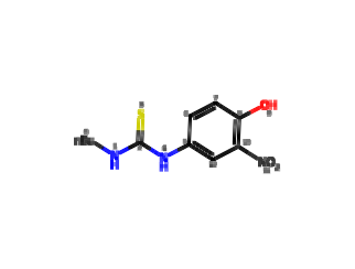 CCCCNC(=S)Nc1ccc(O)c([N+](=O)[O-])c1